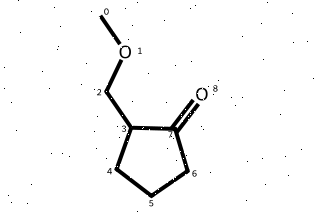 COCC1CCCC1=O